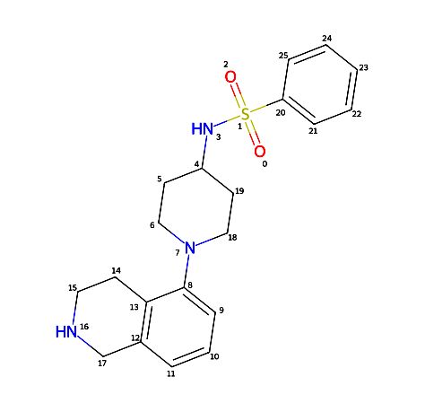 O=S(=O)(NC1CCN(c2cccc3c2CCNC3)CC1)c1ccccc1